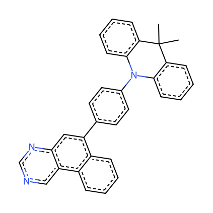 CC1(C)c2ccccc2N(c2ccc(-c3cc4ncncc4c4ccccc34)cc2)c2ccccc21